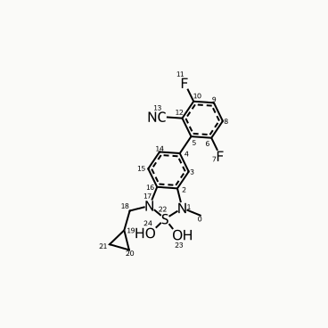 CN1c2cc(-c3c(F)ccc(F)c3C#N)ccc2N(CC2CC2)S1(O)O